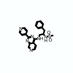 CS(=O)(=O)NC(CNc1nc(-c2ccncc2)nc2cnccc12)Cc1ccccc1